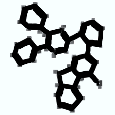 Clc1cc(-c2ccccc2-c2cnc(-c3ccccc3)c(-c3ccccc3)n2)cc2sc3ccccc3c12